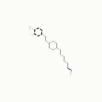 F/C=C/CCCCCC1CCC(CCc2ccc(F)c(F)c2)CC1